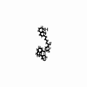 F[C@@H](CCCCc1ccc2c(n1)NCCC2)[C@@H]1CCN(Cc2cccc3cnn([C@H]4CCOC4)c23)C1